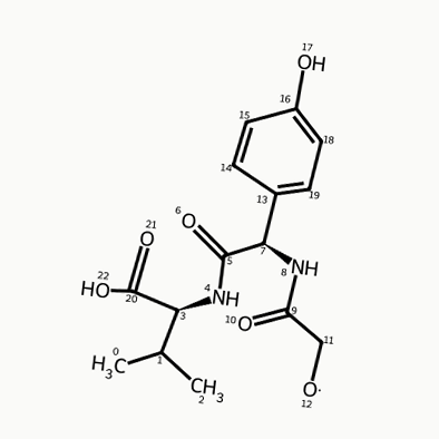 CC(C)[C@H](NC(=O)[C@H](NC(=O)C[O])c1ccc(O)cc1)C(=O)O